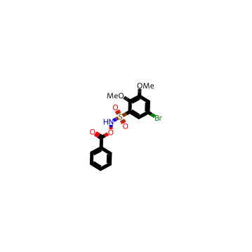 COc1cc(Br)cc(S(=O)(=O)NOC(=O)c2ccccc2)c1OC